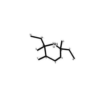 CCC1(C)C[CH]C(C)C(C)(CC)N1